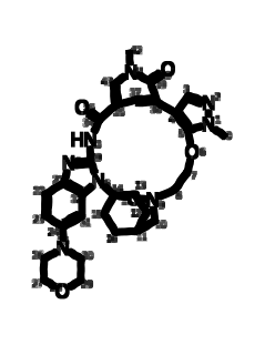 Cn1ncc2c1OCCN1CC3CCC(CC3)(C1)n1c(nc3ccc(N4CCOCC4)cc31)NC(=O)c1cc-2c(=O)n(C)c1